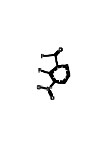 O=C(F)c1cccc([N+](=O)[O-])c1F